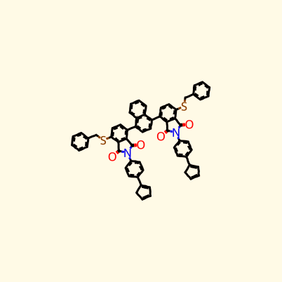 O=C1c2c(SCc3ccccc3)ccc(-c3ccc(-c4ccc(SCc5ccccc5)c5c4C(=O)N(c4ccc(C6=CC=CC6)cc4)C5=O)c4ccccc34)c2C(=O)N1c1ccc(C2=CC=CC2)cc1